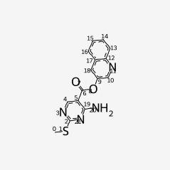 CSc1ncc(C(=O)Oc2cnc3ccccc3c2)c(N)n1